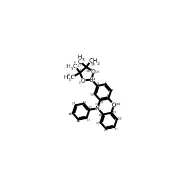 CC1(C)OB(c2ccc3c(c2)N(c2ccccc2)c2ccccc2O3)OC1(C)C